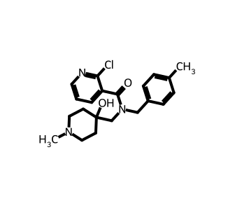 Cc1ccc(CN(CC2(O)CCN(C)CC2)C(=O)c2cccnc2Cl)cc1